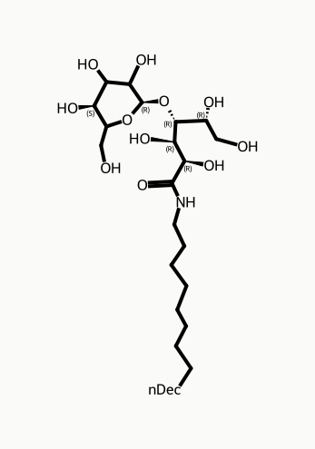 CCCCCCCCCCCCCCCCCCNC(=O)[C@H](O)[C@@H](O)[C@H](O[C@H]1OC(CO)[C@@H](O)C(O)C1O)[C@H](O)CO